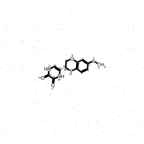 CSc1ccc2c(c1)OC[C@@H](c1c[nH]c(=O)c(=O)[nH]1)S2